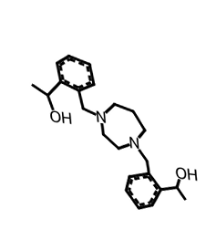 CC(O)c1ccccc1CN1CCCN(Cc2ccccc2C(C)O)CC1